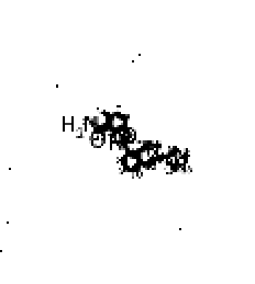 Cc1ccc2oc(-c3cccc4cc(-c5cnn(C)c5)ncc34)nc2c1C(N)=O